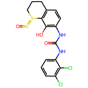 O=S=S1CCCc2ccc(NC(=O)Nc3cccc(Cl)c3Cl)c(O)c21